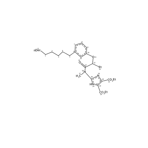 CCCCCCCCCCCCCCCc1cccc(OC(CC)C(=O)N(C)c2nc(C(=O)OCC)c(C(=O)OCC)[nH]2)c1